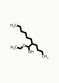 CCCCCCC(CCCC)C(O)OCC